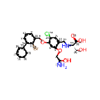 NC(O)COc1cc(OCc2cccc(-c3ccccc3)c2Br)c(Cl)cc1CN[C@@H](CO)C(=O)O